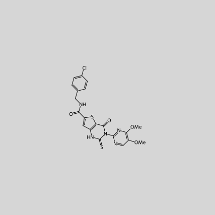 COc1cnc(-n2c(=S)[nH]c3cc(C(=O)NCc4ccc(Cl)cc4)sc3c2=O)nc1OC